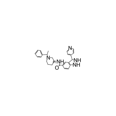 CC(c1ccccc1)N1CCC[C@@H](NC(=O)c2ccc3c(c2)C(c2ccncc2)NN3)C1